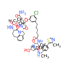 Cc1ncsc1-c1ccc([C@H](C)NC(=O)C2C[C@@H](O)CN2C(=O)[C@@H](NC(=O)CCCCCc2cc(Cl)cc(OC[C@H](CCC(N)=O)NC(=O)[C@@H]3Cc4cccc5c4N3C(=O)[C@@H](NC(=O)OC(C)(C)C)CC5)c2)C(C)(C)C)cc1